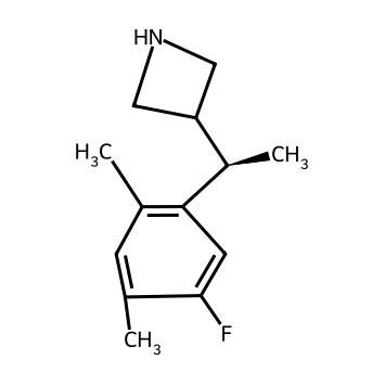 Cc1cc(C)c([C@H](C)C2CNC2)cc1F